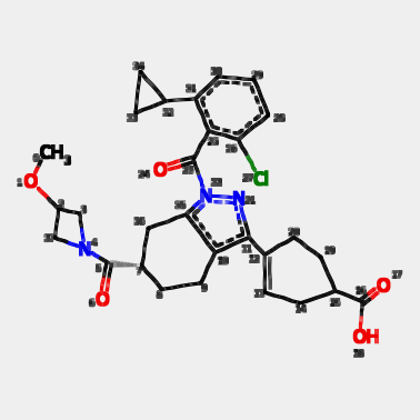 COC1CN(C(=O)[C@H]2CCc3c(C4=CCC(C(=O)O)CC4)nn(C(=O)c4c(Cl)cccc4C4CC4)c3C2)C1